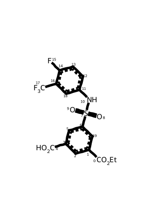 CCOC(=O)c1cc(C(=O)O)cc(S(=O)(=O)Nc2ccc(F)c(C(F)(F)F)c2)c1